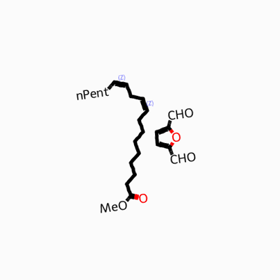 CCCCC/C=C\C/C=C\CCCCCCCC(=O)OC.O=Cc1ccc(C=O)o1